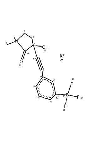 CN1CC[C@@](O)(C#Cc2cccc([B-](F)(F)F)c2)C1=O.[K+]